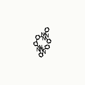 c1ccc(-c2nc(-c3ccccc3)nc(-c3cccc(-c4cccc(-c5nc6c7ccccc7nc(-c7ccccc7)n6n5)c4)c3)n2)cc1